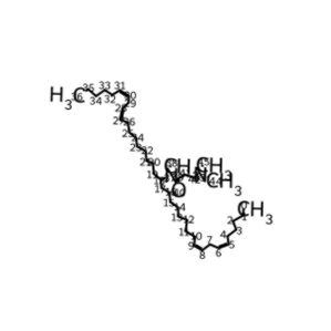 CCCCC/C=C\C/C=C\CCCCCCCCC(CCCCCCCC/C=C\C/C=C\CCCCC)N(C)C(=O)CCN(C)C